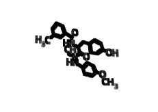 CCN(Nc1ccc(OC)cc1)C(=O)C(Cc1ccc(O)cc1)NC(=O)c1cccc(C)c1